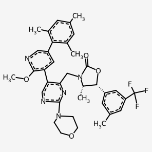 COc1ncc(-c2c(C)cc(C)cc2C)cc1-c1cnc(N2CCOCC2)nc1CN1C(=O)O[C@H](c2cc(C)cc(C(F)(F)F)c2)[C@@H]1C